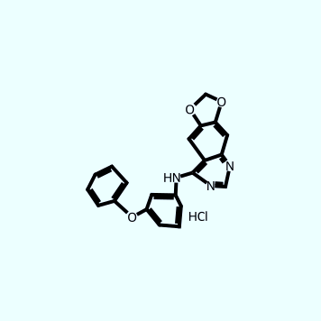 Cl.c1ccc(Oc2cccc(Nc3ncnc4cc5c(cc34)OCO5)c2)cc1